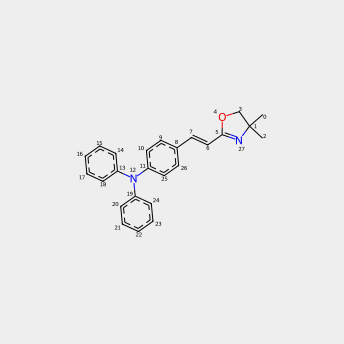 CC1(C)COC(C=Cc2ccc(N(c3ccccc3)c3ccccc3)cc2)=N1